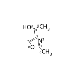 Cc1nc(C(C)O)[c]o1